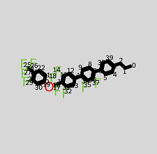 CCCc1ccc(-c2ccc(-c3cc(F)c(C(F)(F)Oc4ccc(C(F)(F)F)c(F)c4)c(F)c3)c(F)c2F)cc1